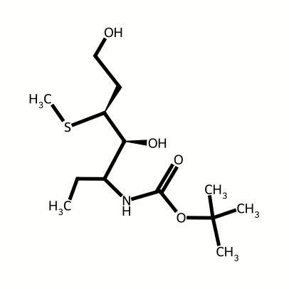 CCC(NC(=O)OC(C)(C)C)[C@H](O)[C@H](CCO)SC